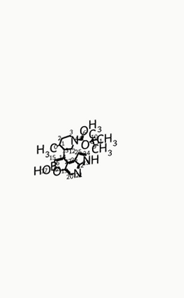 C[C@H]1CCN(C(=O)OC(C)(C)C)C[C@H]1C1=CB(O)Oc2cnc3[nH]ccc3c21